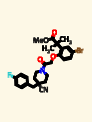 COC(=O)C(C)(C)c1cc(Br)ccc1OCC(=O)N1CCC(C#N)(Cc2ccc(F)cc2)CC1